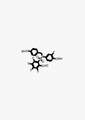 COc1ccc(CN(c2ccc(OC)c(F)c2)S(=O)(=O)c2c(F)c(F)c(F)c(F)c2C=O)cc1